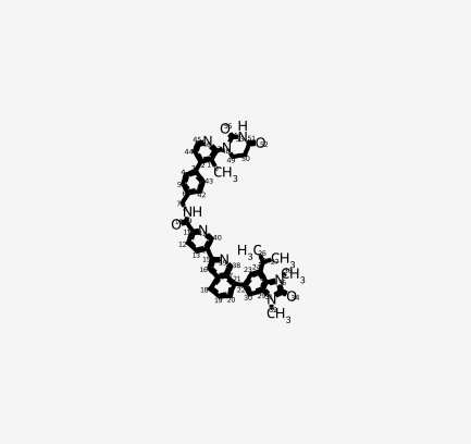 Cc1c(-c2ccc(CNC(=O)c3ccc(-c4cc5cccc(-c6cc(C(C)C)c7c(c6)n(C)c(=O)n7C)c5cn4)cn3)cc2)ccnc1N1CCC(=O)NC1=O